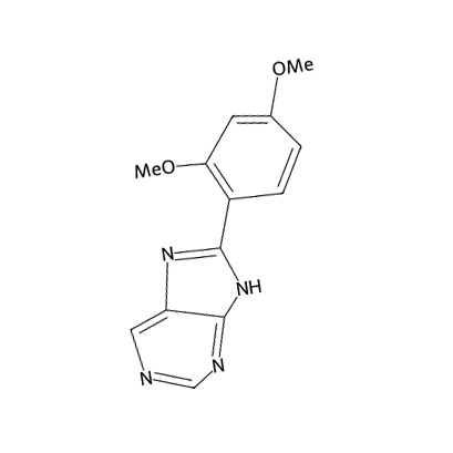 COc1ccc(-c2nc3cncnc3[nH]2)c(OC)c1